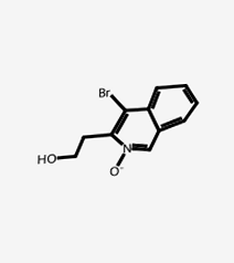 [O-][n+]1cc2ccccc2c(Br)c1CCO